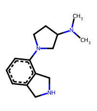 CN(C)C1CCN(c2cccc3c2CNC3)C1